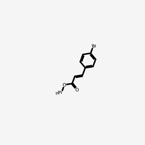 CCCOC(=O)/C=C/c1ccc(Br)cc1